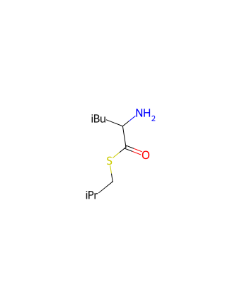 CCC(C)C(N)C(=O)SCC(C)C